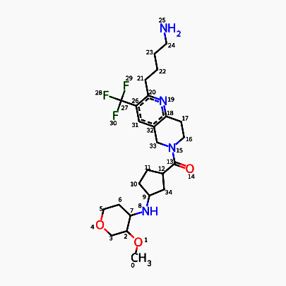 COC1COCCC1NC1CCC(C(=O)N2CCc3nc(CCCCN)c(C(F)(F)F)cc3C2)C1